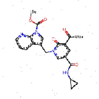 CNC(=O)c1cc(C(=O)NC2CC2)cn(Cc2cn(C(=O)OC(C)(C)C)c3ncccc23)c1=O